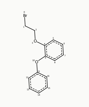 BrCCOc1ccccc1Oc1ccccc1